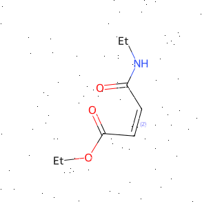 CCNC(=O)/C=C\C(=O)OCC